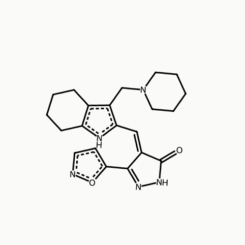 O=C1NN=C(c2ccno2)/C1=C\c1[nH]c2c(c1CN1CCCCC1)CCCC2